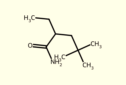 CCC(CC(C)(C)C)C(N)=O